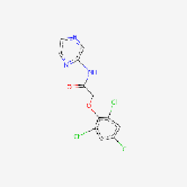 O=C(COc1c(Cl)cc(Cl)cc1Cl)Nc1cnccn1